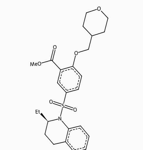 CC[C@@H]1CCc2ccccc2N1S(=O)(=O)c1ccc(OCC2CCOCC2)c(C(=O)OC)c1